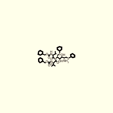 CC(C)[C@H](NC(=O)OCc1ccccc1)C(=O)N(C(=O)[C@@H](NC(=O)OCc1ccccc1)C(C)C)[C@@H](CSc1ccccc1)[C@@H](O)[C@H](O)[C@@H](N)CSc1ccccc1